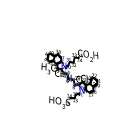 CC1(C)C(/C=C/C=C/C=C2/N(CCCCS(=O)(=O)O)c3ccc4ccccc4c3C2(C)C)=[N+](CCCCCC(=O)O)c2ccc3ccccc3c21